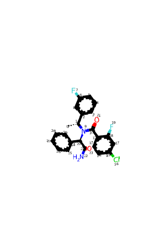 C[C@H](c1cccc(F)c1)N(C(=O)c1ccc(Cl)cc1F)[C@@H](C(N)=O)c1ccccc1